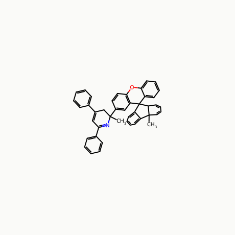 CC1(c2ccc3c(c2)C2(c4ccccc4O3)c3ccccc3C3(C)C=CC=CC32)CC(c2ccccc2)=CC(c2ccccc2)=N1